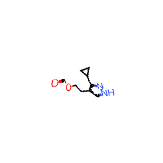 O=COCCc1c[nH]nc1C1CC1